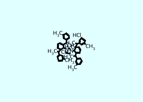 Cc1cccc(C(C)C2=CC=CC(C)(C(C)c3cccc(C)c3)C2N2CCN(C3C(C(C)c4cccc(C)c4)=CC=CC3(C)C(C)c3cccc(C)c3)C2)c1.Cl